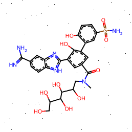 CN(CC(O)C(O)C(O)C(O)CO)C(=O)c1cc(-c2nc3cc(C(=N)N)ccc3[nH]2)c(O)c(-c2cc(S(N)(=O)=O)ccc2O)c1